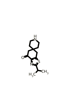 CC(C)c1nc2c(s1)CC1(CCNCC1)CC2=O